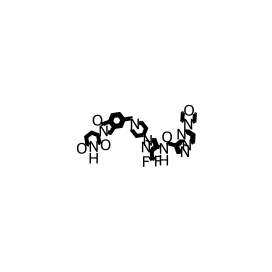 O=C1CCC(N2Cc3cc(CN4CCC(n5cc(NC(=O)c6cnn7ccc(N8CCOCC8)nc67)c(C(F)F)n5)CC4)ccc3C2=O)C(=O)N1